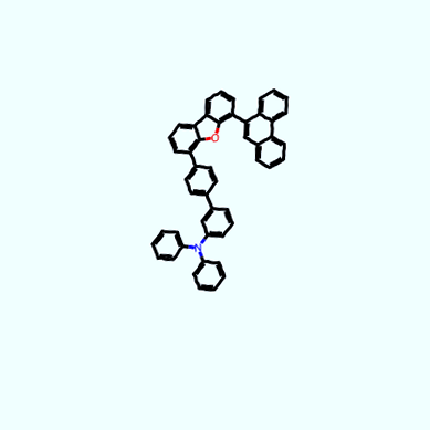 c1ccc(N(c2ccccc2)c2cccc(-c3ccc(-c4cccc5c4oc4c(-c6cc7ccccc7c7ccccc67)cccc45)cc3)c2)cc1